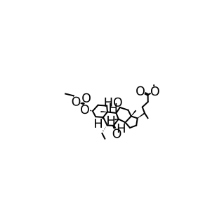 CCOC(=O)O[C@@H]1CC[C@]2(C)[C@@H]3[C@@H](C(=O)[C@H](CC)[C@@H]2C1)[C@@H]1CC[C@H](C(C)CCC(=O)OC)[C@@]1(C)C[C@@H]3O